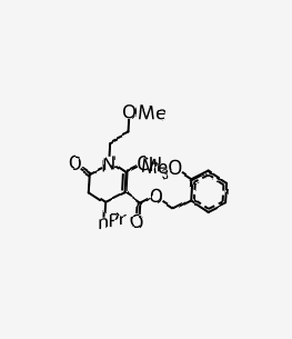 CCCC1CC(=O)N(CCOC)C(C)=C1C(=O)OCc1ccccc1OC